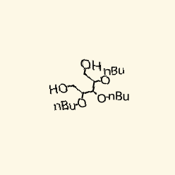 CCCCO[C@@H]([C@H](CO)OCCCC)[C@@H](CO)OCCCC